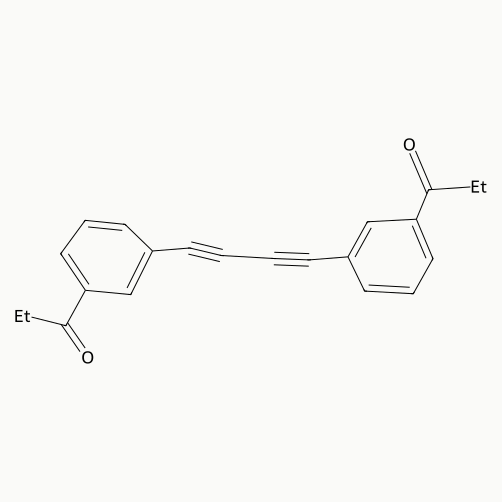 CCC(=O)c1cccc(C#CC#Cc2cccc(C(=O)CC)c2)c1